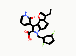 CCc1coc2c1ccc1c2c(-c2ccc[nH]c2=O)c(C(=O)O)n1Cc1cc(F)ccc1F